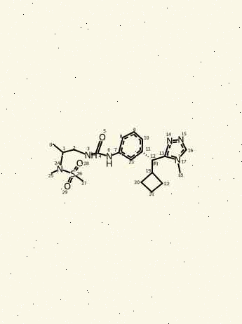 CC(CNC(=O)Nc1cccc([C@H](c2nncn2C)C2CCC2)c1)N(C)S(C)(=O)=O